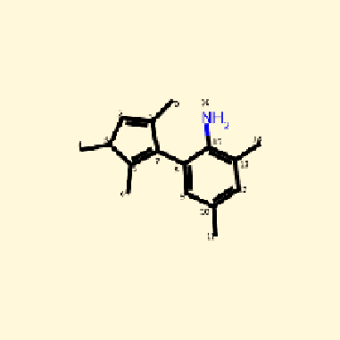 CC1=CC(C)C(C)=C1c1cc(C)cc(C)c1N